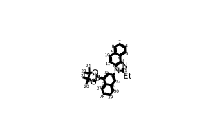 CCc1nc2c3ccccc3ccc2n1-c1cc(B2OC(C)(C)C(C)(C)O2)c2ccccc2c1